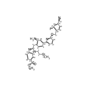 COCCn1c(Cc2ccc(-c3cccc(OCc4ccc(C#N)cc4F)n3)cc2N)nc2ccc(C(=O)OC)cc21